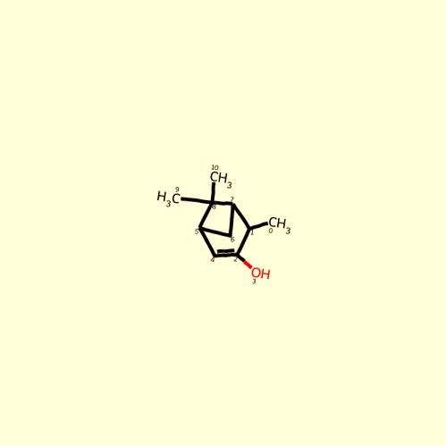 CC1C(O)=CC2CC1C2(C)C